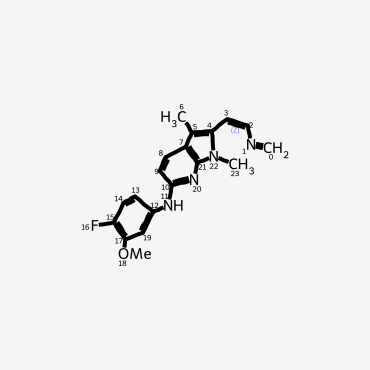 C=N/C=C\c1c(C)c2ccc(Nc3ccc(F)c(OC)c3)nc2n1C